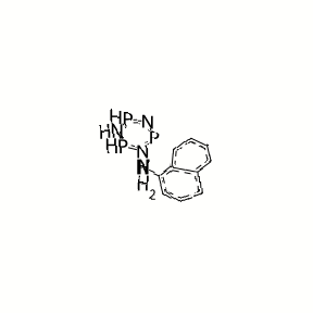 Nc1cccc2ccccc12.n1p[nH][pH][nH][pH]1